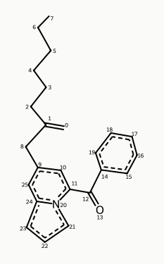 C=C(CCCCCC)Cc1cc(C(=O)c2ccccc2)n2cccc2c1